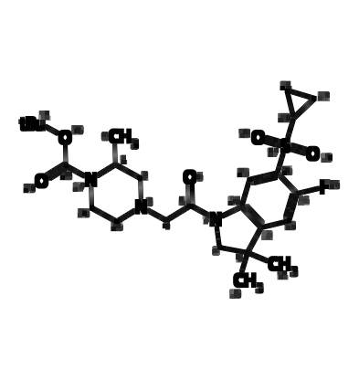 CC1CN(CC(=O)N2CC(C)(C)c3cc(F)c(S(=O)(=O)C4CC4)cc32)CCN1C(=O)OC(C)(C)C